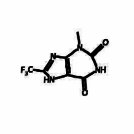 Cn1c(=O)[nH]c(=O)c2[nH]c(C(F)(F)F)nc21